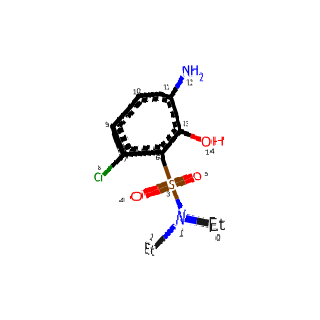 CCN(CC)S(=O)(=O)c1c(Cl)ccc(N)c1O